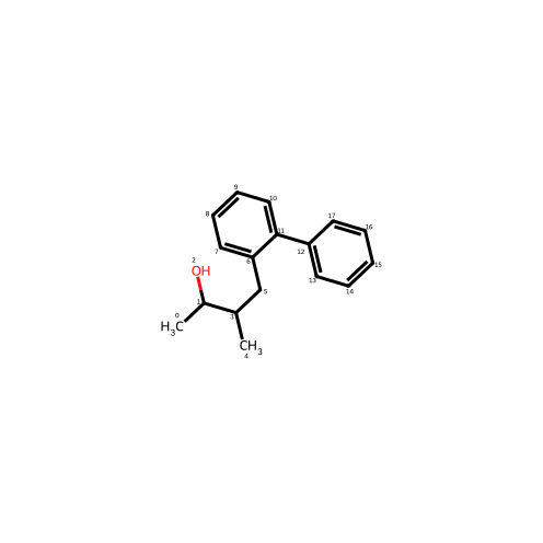 CC(O)C(C)Cc1ccccc1-c1ccccc1